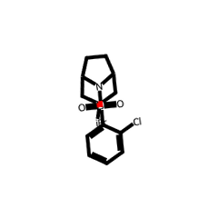 CC(C)N1CC2CCC(C1)N2S(=O)(=O)c1ccccc1Cl